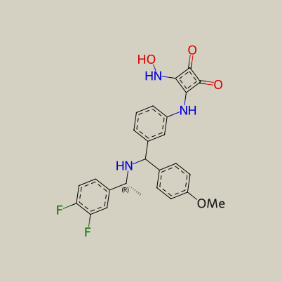 COc1ccc(C(N[C@H](C)c2ccc(F)c(F)c2)c2cccc(Nc3c(NO)c(=O)c3=O)c2)cc1